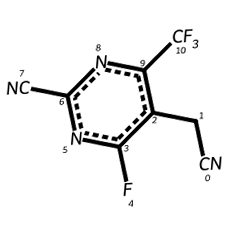 N#CCc1c(F)nc(C#N)nc1C(F)(F)F